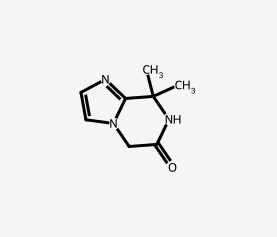 CC1(C)NC(=O)Cn2ccnc21